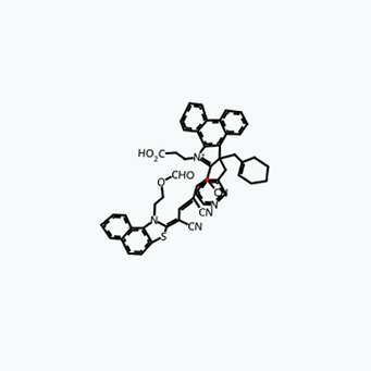 N#CC(=C\C(C#N)=C1\Sc2ccc3ccccc3c2N1CCOC=O)/C=C(\C#N)C1=[N+](CCC(=O)O)c2c(c3ccccc3c3ccccc23)C1(CC1=CCCCC1)Cc1cccnc1